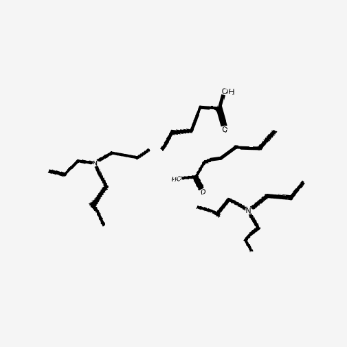 CCCCC(=O)O.CCCCCC(=O)O.CCCN(CCC)CCC.CCCN(CCC)CCC